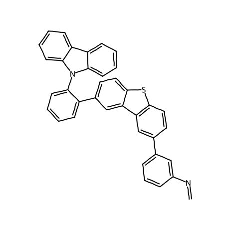 C=Nc1cccc(-c2ccc3sc4ccc(-c5ccccc5-n5c6ccccc6c6ccccc65)cc4c3c2)c1